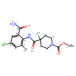 CC(C)(C)OC(=O)N1CCC(F)(C(=O)Nc2c(F)cc(Br)cc2C(N)=O)CC1